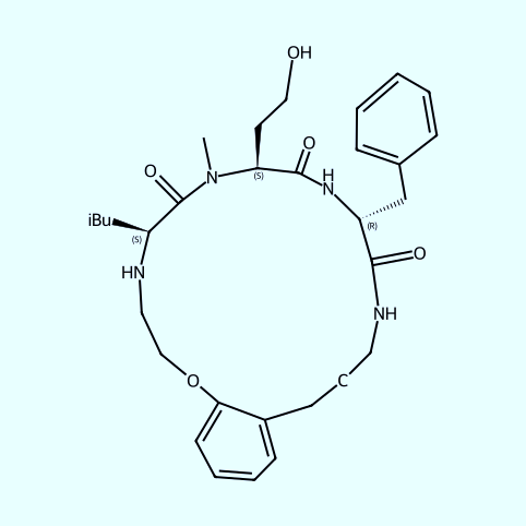 CCC(C)[C@@H]1NCCOc2ccccc2CCCNC(=O)[C@@H](Cc2ccccc2)NC(=O)[C@H](CCO)N(C)C1=O